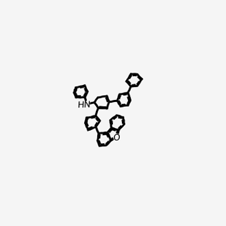 C1=C(c2cccc(-c3ccccc3)c2)C=C(c2cccc(-c3cccc4oc5ccccc5c34)c2)C(Nc2ccccc2)C1